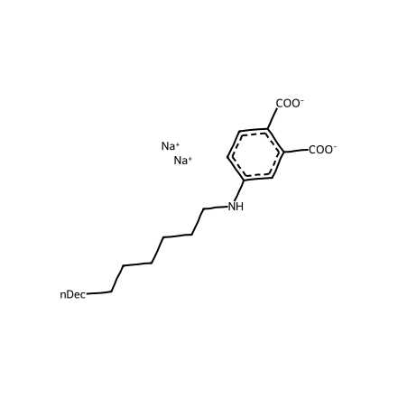 CCCCCCCCCCCCCCCCNc1ccc(C(=O)[O-])c(C(=O)[O-])c1.[Na+].[Na+]